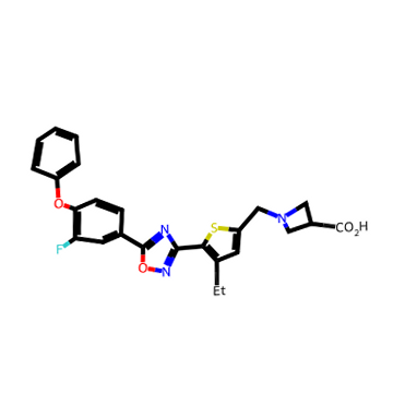 CCc1cc(CN2CC(C(=O)O)C2)sc1-c1noc(-c2ccc(Oc3ccccc3)c(F)c2)n1